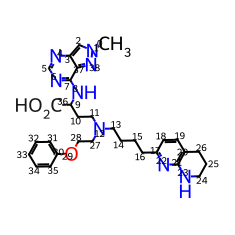 Cn1cc2ncnc(NC(CCN(CCCCc3ccc4c(n3)NCCC4)CCOc3ccccc3)C(=O)O)c2n1